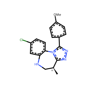 COc1ccc(-c2nnc3n2-c2ccc(Cl)cc2NC[C@@H]3C)cc1